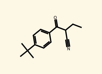 CCC(C#N)C(=O)c1ccc(C(C)(C)C)cc1